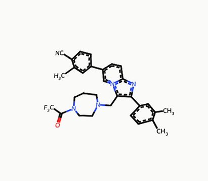 Cc1ccc(-c2nc3ccc(-c4ccc(C#N)c(C)c4)cn3c2CN2CCCN(C(=O)C(F)(F)F)CC2)cc1C